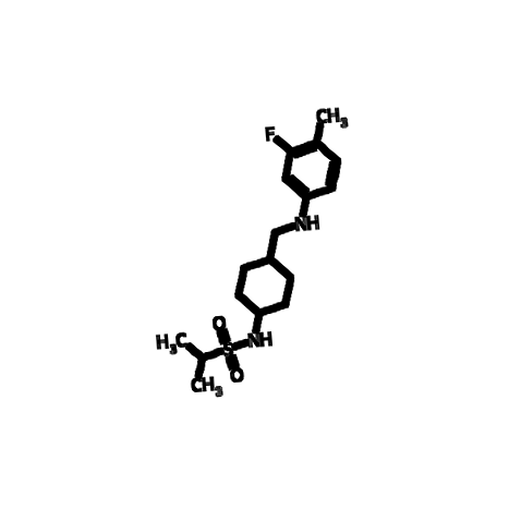 Cc1ccc(NCC2CCC(NS(=O)(=O)C(C)C)CC2)cc1F